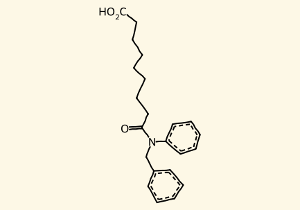 O=C(O)CCCCCCCC(=O)N(Cc1ccccc1)c1ccccc1